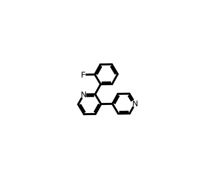 Fc1ccccc1-c1ncccc1-c1ccncc1